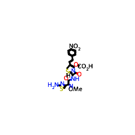 CON=C(C(=O)NC1C(=O)N2C(OC(=O)O)=C(C=Cc3ccc([N+](=O)[O-])cc3)CS[C@@H]12)c1csc(N)n1